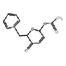 CC(=O)OC1C=CC(=O)C(Cc2ccccc2)O1